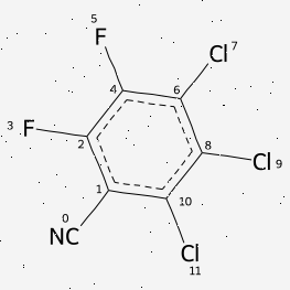 N#Cc1c(F)c(F)c(Cl)c(Cl)c1Cl